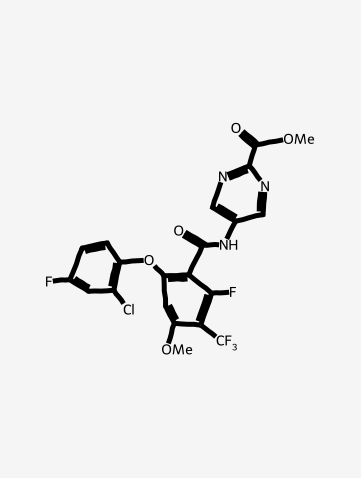 COC(=O)c1ncc(NC(=O)c2c(Oc3ccc(F)cc3Cl)cc(OC)c(C(F)(F)F)c2F)cn1